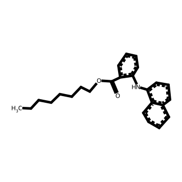 CCCCCCCCOC(=O)c1ccccc1Nc1cccc2ccccc12